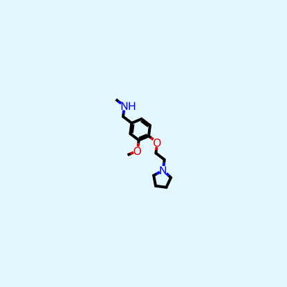 CNCc1ccc(OCCN2CCCC2)c(OC)c1